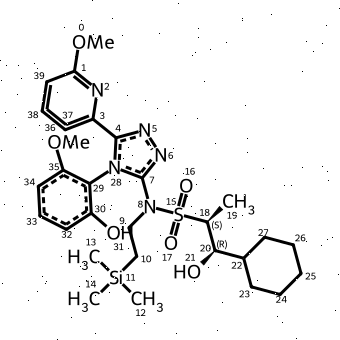 COC1=NC(c2nnc(N(CC[Si](C)(C)C)S(=O)(=O)[C@@H](C)[C@H](O)C3CCCCC3)n2-c2c(O)cccc2OC)=C=C=C1